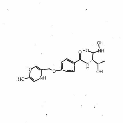 C[C@@H](O)[C@H](NC(=O)c1ccc(OCC2=COC(O)=CN2)cc1)C(O)NO